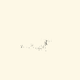 CC(C)(O)Cn1cc(-n2c3c(cc(C(=O)Nc4ccc(Oc5ccnc6cc(OCCCN7CCOCC7)ccc56)cn4)c2=O)C(=O)CCC3)cn1